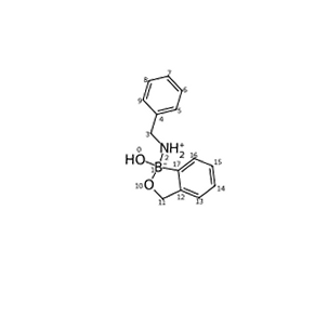 O[B-]1([NH2+]Cc2ccccc2)OCc2ccccc21